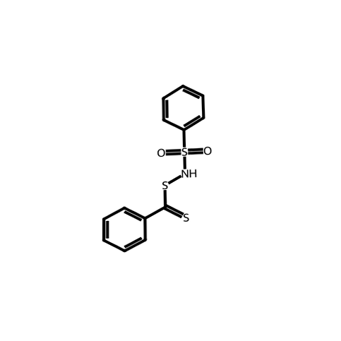 O=S(=O)(NSC(=S)c1ccccc1)c1ccccc1